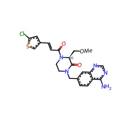 COC[C@H]1C(=O)N(Cc2ccc3c(N)ncnc3c2)CCN1C(=O)C=Cc1csc(Cl)c1